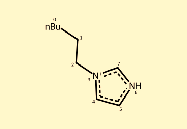 CCCCCC[n+]1cc[nH]c1